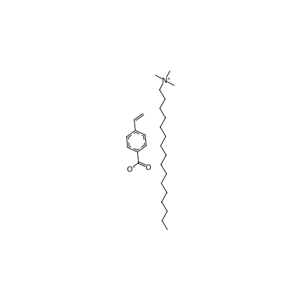 C=Cc1ccc(C(=O)[O-])cc1.CCCCCCCCCCCCCCCC[N+](C)(C)C